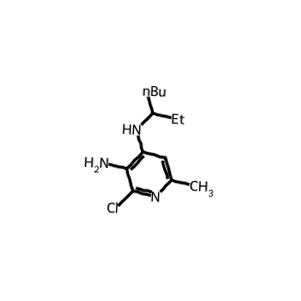 CCCCC(CC)Nc1cc(C)nc(Cl)c1N